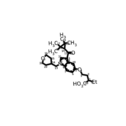 CCC(CCOc1ccc2c(c1)c(C(=O)C1C(C)(C)C1(C)C)cn2CC1CCOCC1)C(=O)O